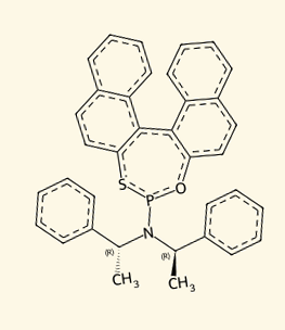 C[C@H](c1ccccc1)N([C@H](C)c1ccccc1)p1oc2ccc3ccccc3c2c2c(ccc3ccccc32)s1